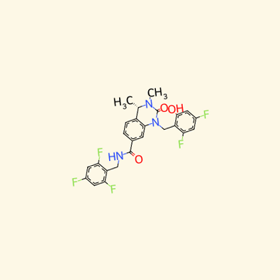 C[C@H]1c2ccc(C(=O)NCc3c(F)cc(F)cc3F)cc2N(Cc2c(O)cc(F)cc2F)C(=O)N1C